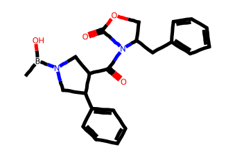 CB(O)N1CC(C(=O)N2C(=O)OCC2Cc2ccccc2)C(c2ccccc2)C1